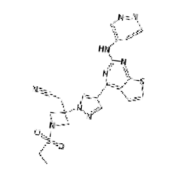 CCS(=O)(=O)N1CC(CC#N)(n2cc(-c3nc(Nc4ccnnc4)nc4sccc34)cn2)C1